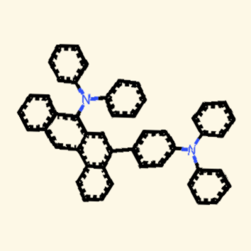 c1ccc(N(c2ccccc2)c2ccc(-c3cc4c(N(c5ccccc5)c5ccccc5)c5ccccc5cc4c4ccccc34)cc2)cc1